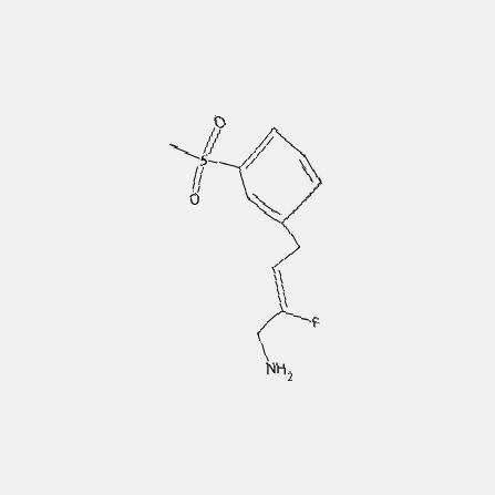 CS(=O)(=O)c1cccc(C/C=C(\F)CN)c1